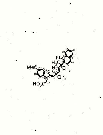 CC[n+]1c(C(C)(C)C=CC(C)(C)/C=C2\Sc3cc(OC)ccc3N2CC(=O)O)ccc2ccccc21